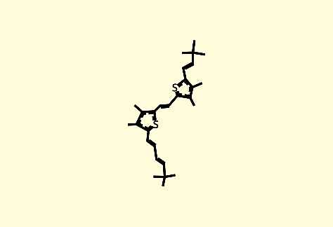 Cc1c(/C=C/C=C/C(C)(C)C)sc(/C=C/c2sc(/C=C/C(C)(C)C)c(C)c2C)c1C